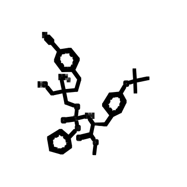 COC(=O)[C@H](Cc1ccc(OC(C)(C)C)cc1)NP(=O)(OCC(N)(CO)CCc1ccc(C#N)cc1)Oc1ccccc1